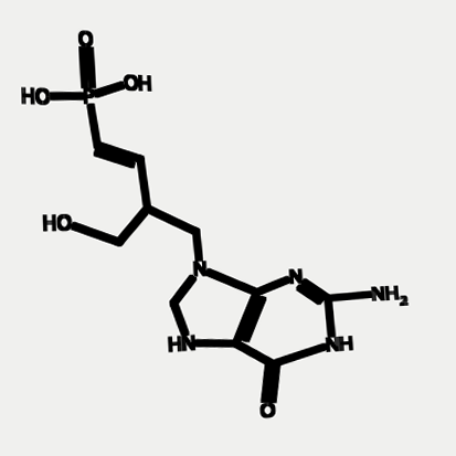 Nc1nc2c(c(=O)[nH]1)NCN2CC(C=CP(=O)(O)O)CO